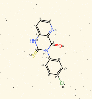 O=c1c2ncccc2[nH]c(=S)n1-c1ccc(Cl)cc1